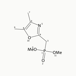 COP(=O)(Cc1nc(C)c(C)o1)OC